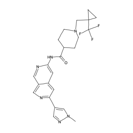 Cn1cc(-c2cc3cc(NC(=O)C4CCN(CC5(C(F)(F)F)CC5)CC4)ncc3cn2)cn1